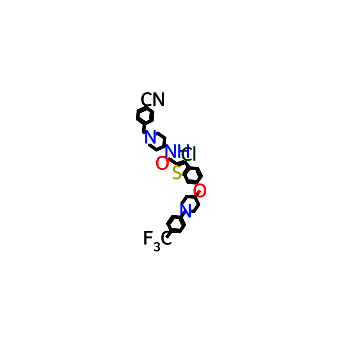 N#Cc1ccc(CN2CCC(NC(=O)c3sc4cc(OC5CCN(c6ccc(C(F)(F)F)cc6)CC5)ccc4c3Cl)CC2)cc1